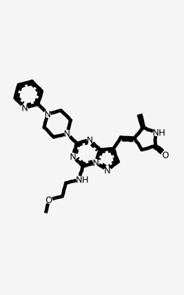 C=C1NC(=O)C/C1=C\c1cnn2c(NCCOC)nc(N3CCN(c4ccccn4)CC3)nc12